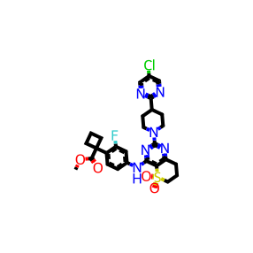 COC(=O)C1(c2ccc(Nc3nc(N4CCC(c5ncc(Cl)cn5)CC4)nc4c3S(=O)(=O)CCC4)cc2F)CCC1